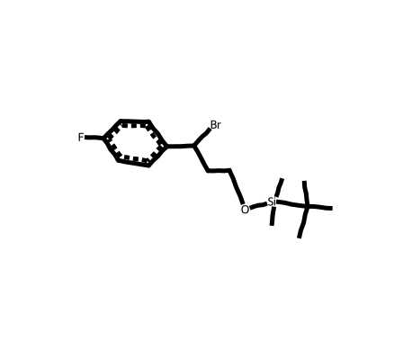 CC(C)(C)[Si](C)(C)OCCC(Br)c1ccc(F)cc1